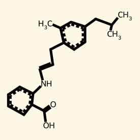 Cc1cc(CC(C)C)ccc1CC=CNc1ccccc1C(=O)O